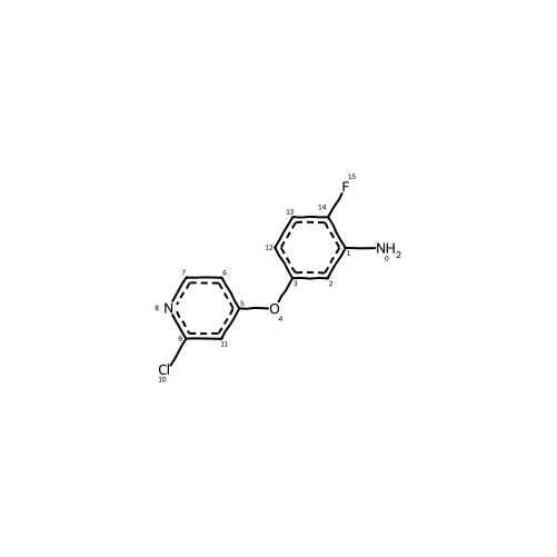 Nc1cc(Oc2ccnc(Cl)c2)ccc1F